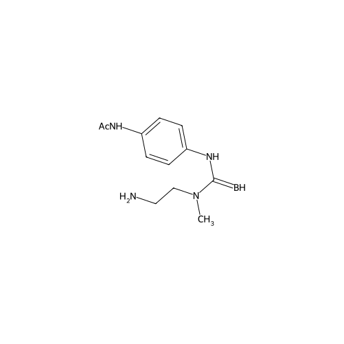 B=C(Nc1ccc(NC(C)=O)cc1)N(C)CCN